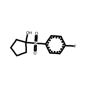 O=S(=O)(c1ccc(F)cc1)C1(O)CCCC1